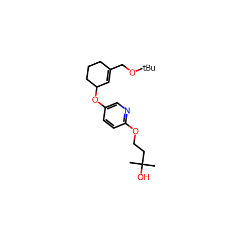 CC(C)(O)CCOc1ccc(OC2C=C(COC(C)(C)C)CCC2)cn1